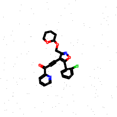 O=C(C#Cc1c(COC2CCCCO2)noc1-c1ccccc1Cl)c1ccccn1